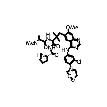 CN[C@@H](C)C(=O)N[C@H](C(=O)NC(=O)[C@@H]1CCCN1)C(C)(C)Cc1cc2c(Nc3ccc(N4CCOCC4)c(Cl)c3)ncnc2cc1OC